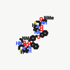 CN[C@@H](C)C(=O)N[C@H]1CCS[C@H]2CC(C)(C)[C@@H](C(=O)N[C@H]3c4ccccc4C[C@H]3OCc3ccc(CO[C@@H]4Cc5ccccc5[C@@H]4NC(=O)[C@H]4N5C(=O)[C@@H](NC(=O)[C@H](C)NC)CCS[C@H]5CC4(C)C)cc3)N2C1=O